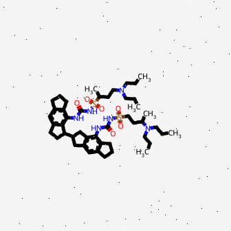 CCCN(CCC)CCC(C)S(=O)(=O)NC(=O)Nc1c2c(cc3c1C(C1Cc4cc5c(c(NC(=O)NS(=O)(=O)CCC(C)N(CCC)CCC)c4C1)CCC5)CC3)CCC2